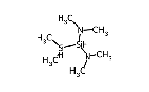 CN(C)[SiH](N(C)C)[SiH](C)C